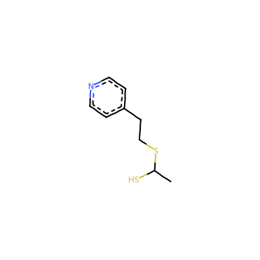 CC(S)SCCc1ccncc1